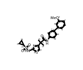 COc1cccc(-c2ccc(NC(=O)C(C)(C)c3csc(NS(=O)(=O)C4CC4)n3)cc2)c1